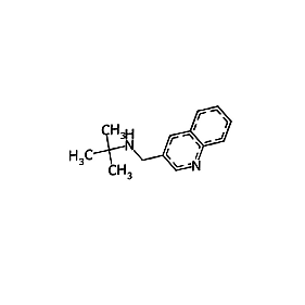 CC(C)(C)NCc1cnc2ccccc2c1